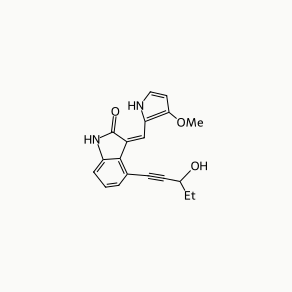 CCC(O)C#Cc1cccc2c1C(=Cc1[nH]ccc1OC)C(=O)N2